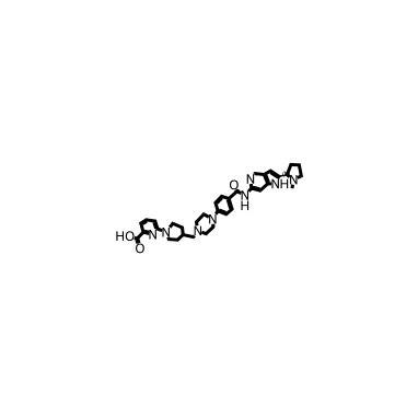 CN1CCC[C@@H]1c1cc2cnc(NC(=O)c3ccc(N4CCN(CC5CCN(c6cccc(C(=O)O)n6)CC5)CC4)cc3)cc2[nH]1